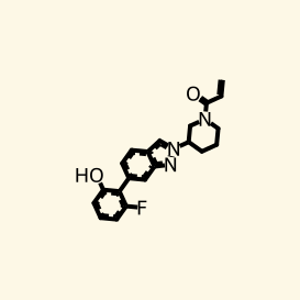 C=CC(=O)N1CCCC(n2cc3ccc(-c4c(O)cccc4F)cc3n2)C1